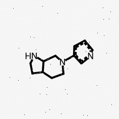 c1cncc(N2CCC3CCNC3C2)c1